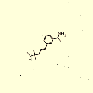 CNC(C)(C)C/C=[C]/c1cccc(C(C)N)c1